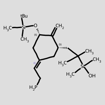 C=C1[C@H](CC(C)(C)[Si](C)(C)O)C/C(=C\CP)C[C@@H]1O[Si](C)(C)C(C)(C)C